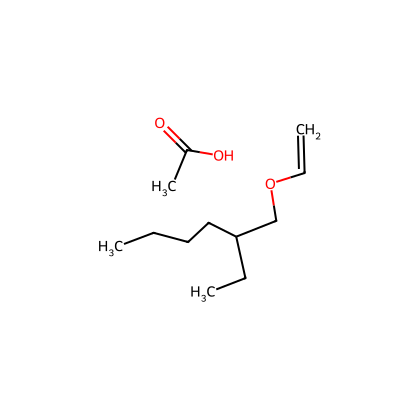 C=COCC(CC)CCCC.CC(=O)O